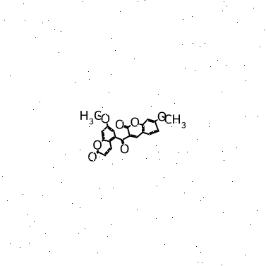 COc1ccc2cc(C(=O)c3cc(OC)cc4oc(=O)ccc34)c(=O)oc2c1